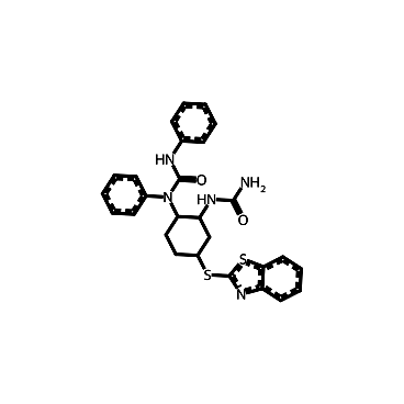 NC(=O)NC1CC(Sc2nc3ccccc3s2)CCC1N(C(=O)Nc1ccccc1)c1ccccc1